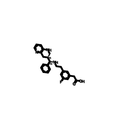 O=C(O)Cc1cc(F)cc(CCN[C@H](c2ccccc2)[C@H]2CNc3cccnc3C2)c1